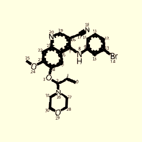 CCC(Oc1cc2c(Nc3cccc(Br)c3)c(C#N)cnc2cc1OC)N1CCOCC1